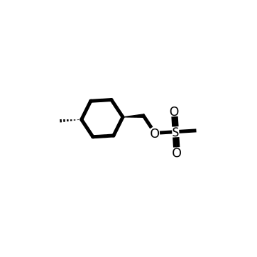 CS(=O)(=O)OC[C@H]1CC[C@H](C)CC1